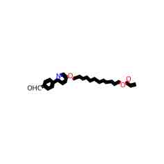 C=CC(=O)OCCCCCCCCCCCCOc1ccc(-c2ccc(C=O)cc2)nc1